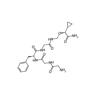 NCC(=O)NCC(=O)N[C@@H](Cc1ccccc1)C(=O)NCC(=O)NCO[C@H](C(N)=O)C1CC1